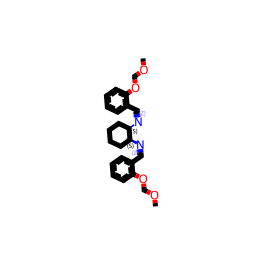 COCOc1ccccc1/C=N\[C@H]1CCCC[C@@H]1/N=C\c1ccccc1OCOC